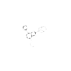 N#CCOc1ccc(-c2nccs2)c2oc(N3CC4CCC(C3)N4)nc12